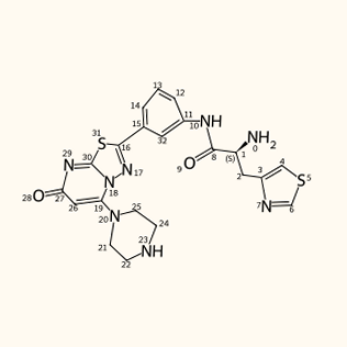 N[C@@H](Cc1cscn1)C(=O)Nc1cccc(-c2nn3c(N4CCNCC4)cc(=O)nc3s2)c1